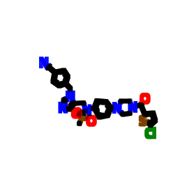 CS(=O)(=O)N(Cc1cncn1Cc1ccc(C#N)cc1)c1ccc(N2CCN(C(=O)c3ccc(Cl)s3)CC2)cc1